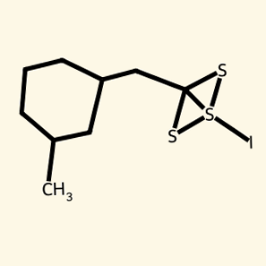 CC1CCCC(CC23SS2(I)S3)C1